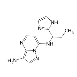 CCC(Nc1ccnc2c(N)cnn12)c1ncc[nH]1